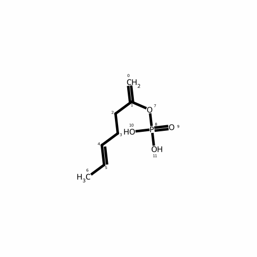 C=C(CCC=CC)OP(=O)(O)O